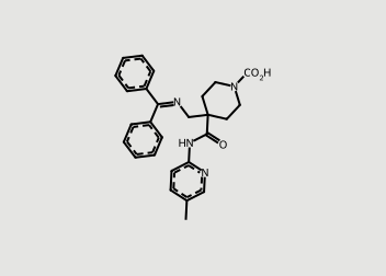 Cc1ccc(NC(=O)C2(CN=C(c3ccccc3)c3ccccc3)CCN(C(=O)O)CC2)nc1